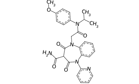 COc1ccc(N(C(=O)CN2C(=O)C(C(N)=O)C(=O)N(c3ccccn3)c3ccccc32)C(C)C)cc1